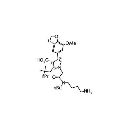 CCCCN(CCCCN)C(=O)CN1C[C@H](c2cc(OC)c3c(c2)OCO3)[C@@H](C(=O)O)[C@@H]1CC(C)(C)CCC